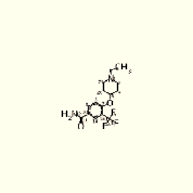 CCN1CCC(Oc2ccc(C(N)=O)cc2C(F)(F)F)CC1